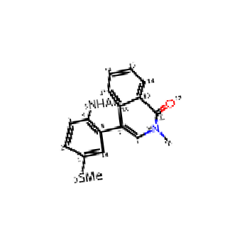 CSc1ccc(NC(C)=O)c(-c2cn(C)c(=O)c3ccccc23)c1